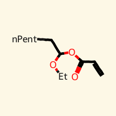 C=CC(=O)OC(CCCCCC)OCC